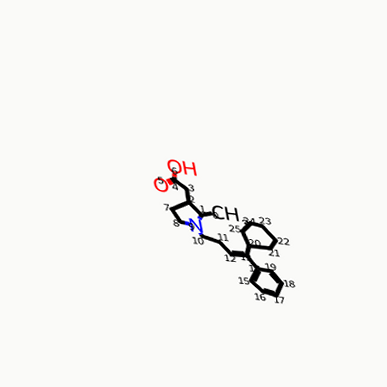 CC1C(CC(=O)O)CCN1CCC=C(c1ccccc1)C1CCCCC1